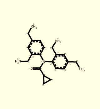 CCc1ccc(N(C(=O)C2CC2)c2ccc(CC)cc2CN)c(CN)c1